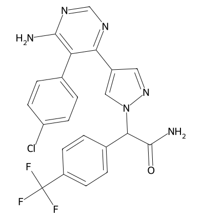 NC(=O)C(c1ccc(C(F)(F)F)cc1)n1cc(-c2ncnc(N)c2-c2ccc(Cl)cc2)cn1